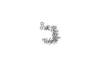 O=C(O)C[C@H](NC(=O)[C@H](CC(=O)O)NC(=O)[C@@H]1CCCN1C(=O)[C@H](CCCCNC(=O)OCC1c2ccccc2-c2ccccc21)NC(=O)[C@@H]1CCCN1)C(=O)O